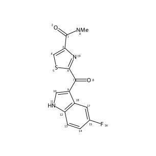 CNC(=O)c1csc(C(=O)c2c[nH]c3ccc(F)cc23)n1